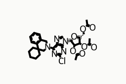 CC(=O)OC[C@H]1O[C@@H](n2cnc3c(N4Cc5ccccc5C5(CCCCC5)C4)nc(Cl)nc32)C(OC(C)=O)C1OC(C)=O